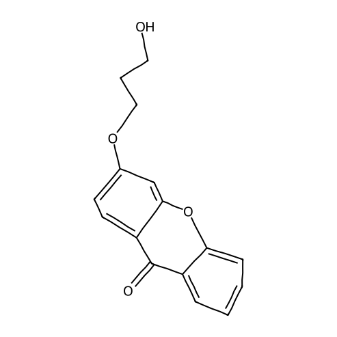 O=c1c2ccccc2oc2cc(OCCCO)ccc12